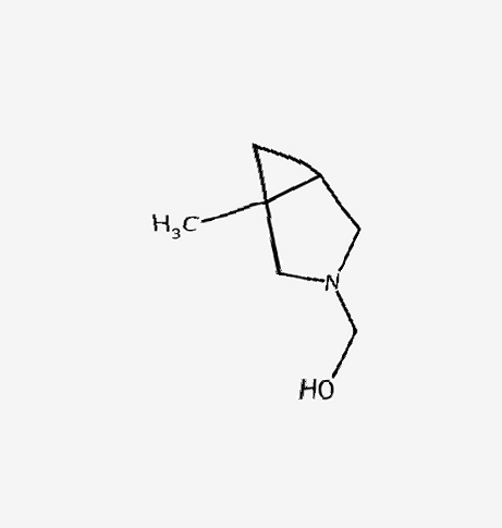 CC12CC1CN(CO)C2